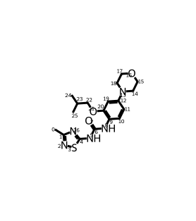 Cc1nsc(NC(=O)Nc2ccc(N3CCOCC3)cc2OCC(C)C)n1